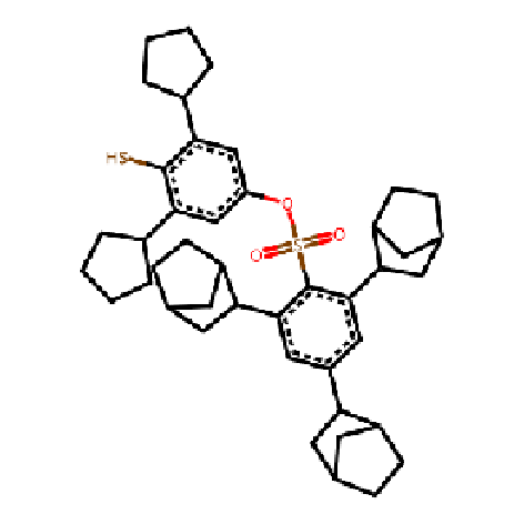 O=S(=O)(Oc1cc(C2CCCC2)c(S)c(C2CCCC2)c1)c1c(C2CC3CCC2C3)cc(C2CC3CCC2C3)cc1C1CC2CCC1C2